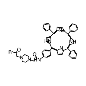 CC(C)C(=O)CN1CCN(CC(=O)Nc2ccc(-c3c4nc(c(-c5ccccc5)c5ccc([nH]5)c(-c5ccccc5)c5nc(c(-c6ccccc6)c6ccc3[nH]6)C=C5)C=C4)cc2)CC1